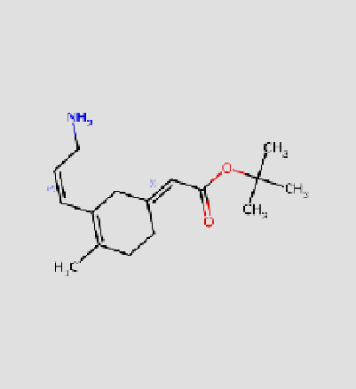 CC1=C(/C=C\CN)C/C(=C/C(=O)OC(C)(C)C)CC1